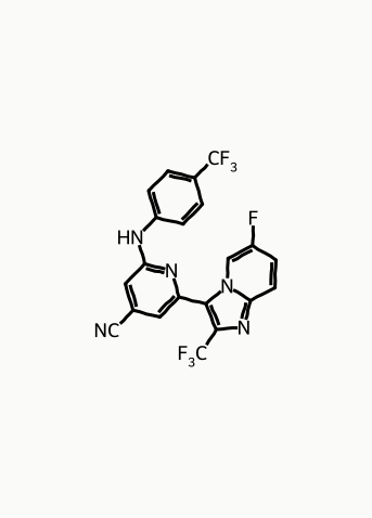 N#Cc1cc(Nc2ccc(C(F)(F)F)cc2)nc(-c2c(C(F)(F)F)nc3ccc(F)cn23)c1